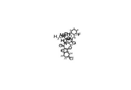 COc1cccc(F)c1CNC(=O)[C@@]1(C)COc2c(oc3ccc(Cl)cc23)C(=O)N1CC(=O)N(C)C